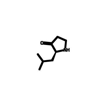 CC(C)C[C@@H]1NCCC1=O